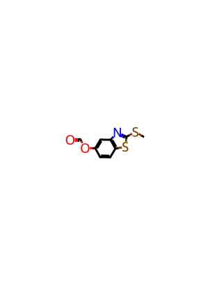 CSc1nc2cc(OC=O)ccc2s1